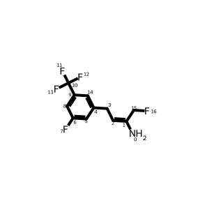 N/C(=C/Cc1cc(F)cc(C(F)(F)F)c1)CF